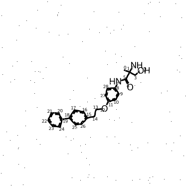 CC(N)(CO)C(=O)Nc1ccc(OCCc2ccc(-c3ccccc3)cc2)cc1